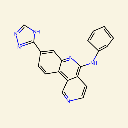 c1ccc(Nc2nc3cc(-c4nnc[nH]4)ccc3c3cnccc23)cc1